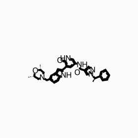 C[C@@H]1CN(Cc2ccc3[nH]c(-c4cc(NC(=O)c5cnn([C@H](C)c6ccccc6)c5)c[nH]c4=O)cc3c2)C[C@H](C)O1